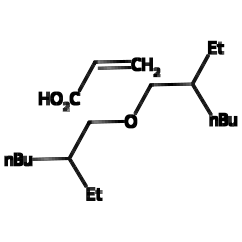 C=CC(=O)O.CCCCC(CC)COCC(CC)CCCC